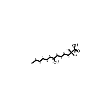 CCCCCCC(O)CCCCC(C)(C)C(=O)O